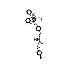 CS(=O)(=O)N(c1ccccc1)c1ccccc1C(=O)NCc1ccc(CCCNC(=O)COCc2ccc(F)cc2)cc1